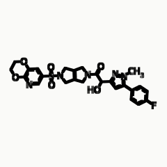 Cn1nc(C(O)C(=O)N2CC3=C(C2)CN(S(=O)(=O)c2cnc4c(c2)OCCO4)C3)cc1-c1ccc(F)cc1